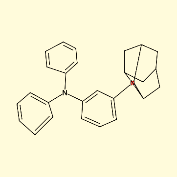 c1ccc(N(c2ccccc2)c2cccc(N3C4CC5CC(C4)CC3C5)c2)cc1